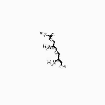 N[C@H](CO)COC[C@@H](N)COC(=O)C(F)(F)F